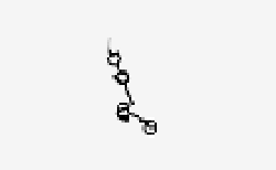 COC=CCc1ccccc1CC#Cc1ccc(-c2ccc(I)cc2)cc1